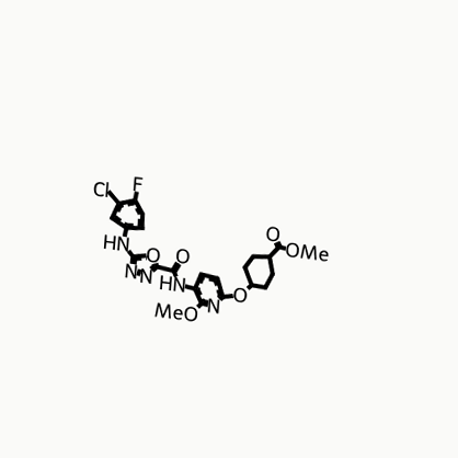 COC(=O)C1CCC(Oc2ccc(NC(=O)c3nnc(Nc4ccc(F)c(Cl)c4)o3)c(OC)n2)CC1